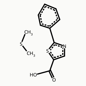 CSC.O=C(O)c1cnc(-c2ccccc2)s1